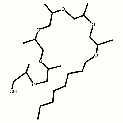 CCCCCCCCOC(C)COC(C)COC(C)COC(C)COC(C)COC(C)CO